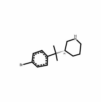 CC(C)(c1ccc(Br)cc1)[C@H]1CCCNC1